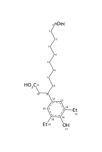 CCCCCCCCCCCCCCCCCCC(CC(=O)O)c1cc(CC)c(O)c(CC)c1